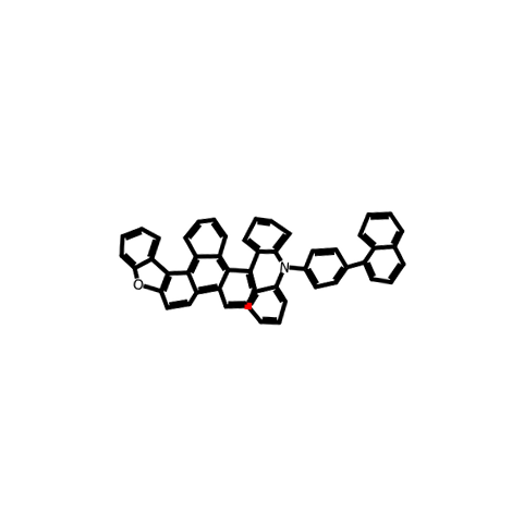 c1ccc(N(c2ccc(-c3cccc4ccccc34)cc2)c2ccccc2-c2cccc3c4ccc5oc6ccccc6c5c4c4ccccc4c23)cc1